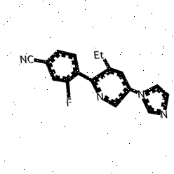 CCc1cc(-n2ccnc2)cnc1-c1ccc(C#N)cc1F